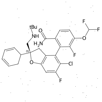 CC(C)(C)NC[C@@]1(C2C=CC=CC2)Cc2c(cc(F)c(Cl)c2-c2c(C(N)=O)ccc(OC(F)F)c2F)O1